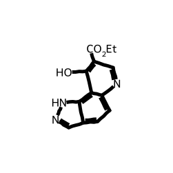 CCOC(=O)c1cnc2ccc3cn[nH]c3c2c1O